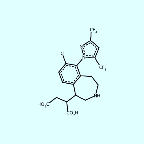 O=C(O)CC(C(=O)O)C1CNCCc2c1ccc(Cl)c2-n1nc(C(F)(F)F)cc1C(F)(F)F